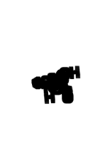 COc1ccc(COC(=O)C2=C(COO)CSC3C(NC(=O)Cc4ccccc4)C(=O)N23)cc1